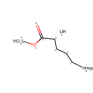 CCCCCCCCCCCC(=O)OS(=O)(=O)O.[LiH]